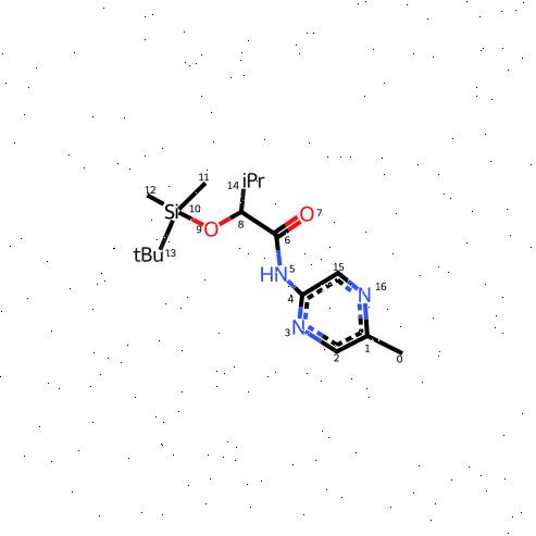 Cc1cnc(NC(=O)C(O[Si](C)(C)C(C)(C)C)C(C)C)cn1